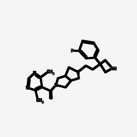 Cc1ncnc(C)c1C(=O)N1CC2CN(CCC3(c4cccc(F)c4)CNC3)CC2C1